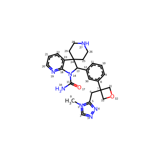 Cn1cnnc1CC1(c2cccc(C3N(C(N)=O)c4ncccc4C34CCNCC4)c2)COC1